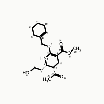 CCC[C@@H]1NC(OCC2=CCCCC2)=C(C(=O)OC)C[C@@H]1C(C)=O